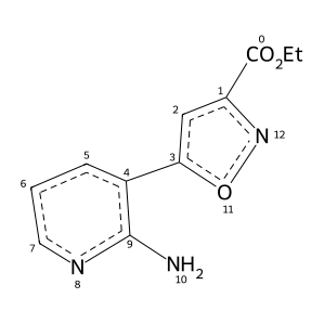 CCOC(=O)c1cc(-c2cccnc2N)on1